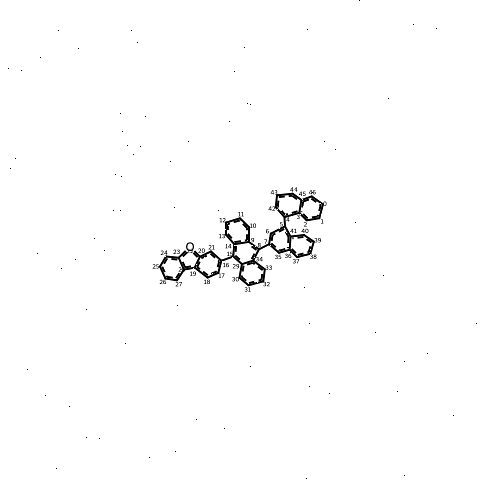 c1ccc2c(-c3cc(-c4c5ccccc5c(-c5ccc6c(c5)oc5ccccc56)c5ccccc45)cc4ccccc34)cccc2c1